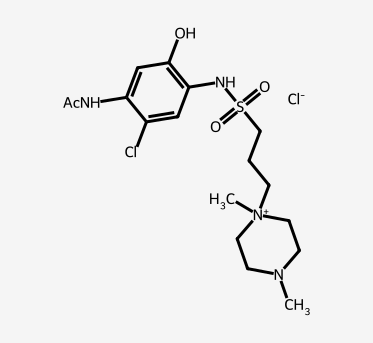 CC(=O)Nc1cc(O)c(NS(=O)(=O)CCC[N+]2(C)CCN(C)CC2)cc1Cl.[Cl-]